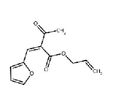 C=CCOC(=O)C(=Cc1ccco1)C(C)=O